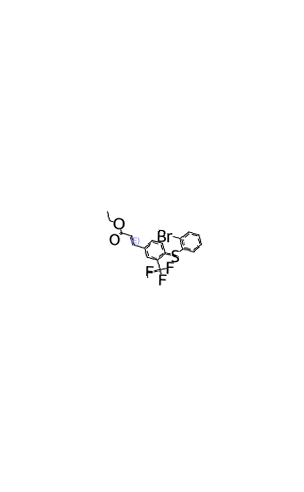 CCOC(=O)/C=C/c1ccc(Sc2ccccc2Br)c(C(F)(F)F)c1